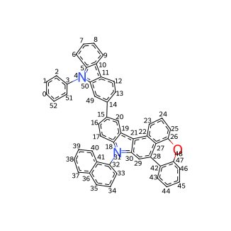 c1ccc(-n2c3ccccc3c3ccc(-c4ccc5c(c4)c4c6cccc7c6c(cc4n5-c4cccc5ccccc45)-c4ccccc4O7)cc32)cc1